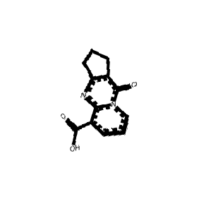 O=C(O)c1cccn2c(=O)c3c(nc12)CCC3